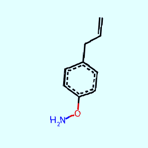 C=CCc1ccc(ON)cc1